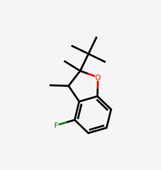 CC1c2c(F)cccc2OC1(C)C(C)(C)C